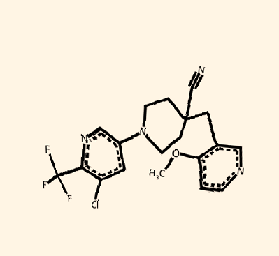 COc1ccncc1CC1(C#N)CCN(c2cnc(C(F)(F)F)c(Cl)c2)CC1